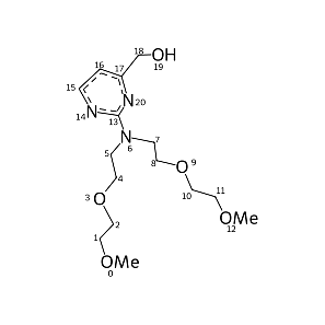 COCCOCCN(CCOCCOC)c1nccc(CO)n1